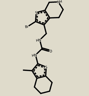 Cc1c(NC(=O)NCc2c(Br)sc3c2CCNC3)sc2c1CCCC2